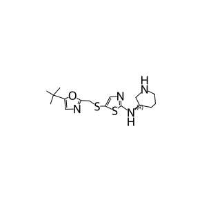 CC(C)(C)c1cnc(CSc2cnc(N[C@@H]3CCCNC3)s2)o1